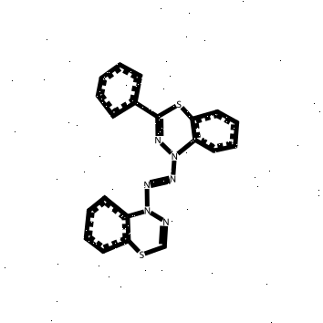 C1=NN(N=NN2N=C(c3ccccc3)Sc3ccccc32)c2ccccc2S1